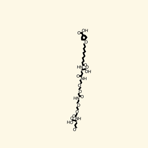 O=[C]CC[C@H](NC(=O)COCCOCCNC(=O)COCCOCCNC(=O)CC[C@H](NC(=O)CCCCCCCCCOc1ccc(C(=O)O)cc1)C(=O)O)C(=O)O